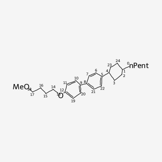 CCCCCC1CCC(c2ccc(-c3ccc(OCCCCOC)cc3)cc2)CC1